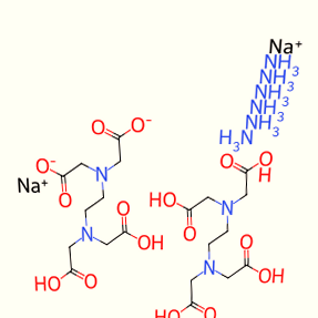 N.N.N.N.N.N.O=C(O)CN(CCN(CC(=O)O)CC(=O)O)CC(=O)O.O=C([O-])CN(CCN(CC(=O)O)CC(=O)O)CC(=O)[O-].[Na+].[Na+]